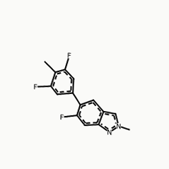 Cc1c(F)cc(-c2cc3cn(C)nc3cc2F)cc1F